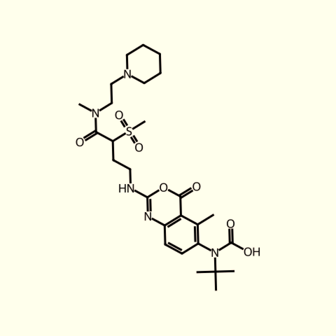 Cc1c(N(C(=O)O)C(C)(C)C)ccc2nc(NCCC(C(=O)N(C)CCN3CCCCC3)S(C)(=O)=O)oc(=O)c12